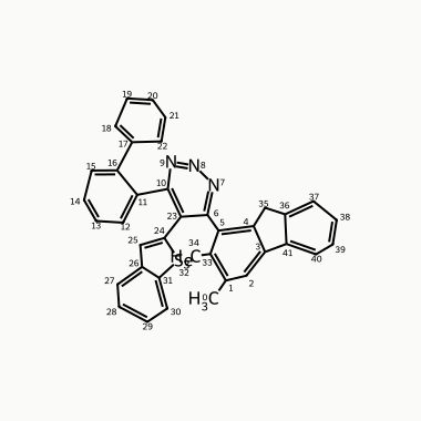 Cc1cc2c(c(-c3nnnc(-c4ccccc4-c4ccccc4)c3-c3cc4ccccc4[se]3)c1C)Cc1ccccc1-2